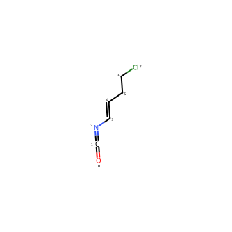 O=C=NC=CCCCl